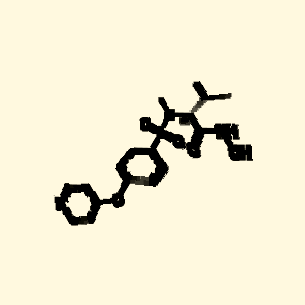 CC(C)[C@H](C(=O)NO)N(C)S(=O)(=O)c1ccc(Oc2ccncc2)cc1